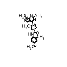 COc1ccc(NC(=O)N2CCN(c3nc(N)nc4c3cnn4C)[C@H](C)C2)c(C)c1